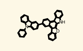 c1ccc(-n2c3ccccc3c3cc(-c4ccc5c(c4)c4c6ccccc6oc4c4[nH]c6ccccc6c54)ccc32)cc1